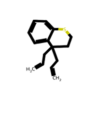 C=CCC1(CC=C)CCSc2ccccc21